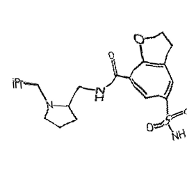 CC(C)CN1CCCC1CNC(=O)c1cc(S(N)(=O)=O)cc2c1OCC2